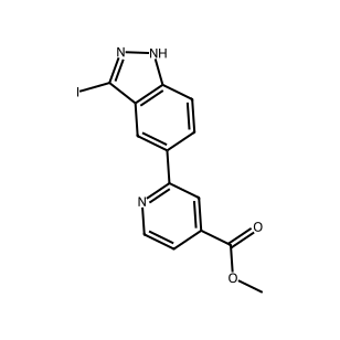 COC(=O)c1ccnc(-c2ccc3[nH]nc(I)c3c2)c1